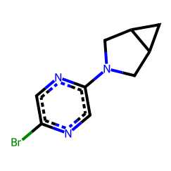 Brc1cnc(N2CC3CC3C2)cn1